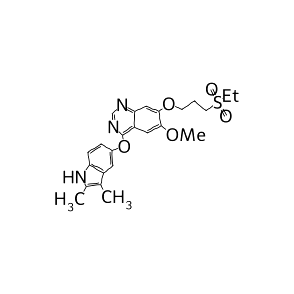 CCS(=O)(=O)CCCOc1cc2ncnc(Oc3ccc4[nH]c(C)c(C)c4c3)c2cc1OC